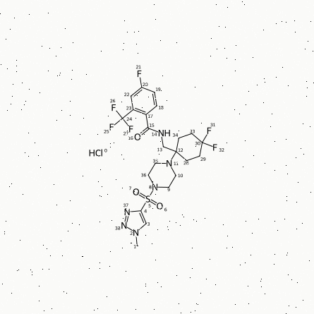 Cl.Cn1cc(S(=O)(=O)N2CCN(C3(CNC(=O)c4ccc(F)cc4C(F)(F)F)CCC(F)(F)CC3)CC2)nn1